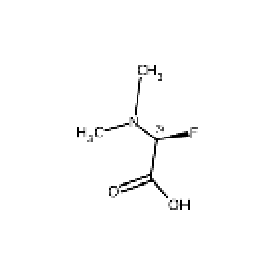 CN(C)[C@@H](F)C(=O)O